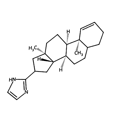 C[C@]12CC[C@@H]3[C@@H](CCC4CCC=C[C@@]43C)[C@@H]1CC(c1ncc[nH]1)C2